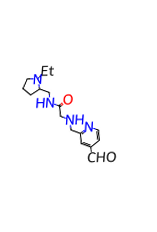 CCN1CCCC1CNC(=O)CNCc1cc(C=O)ccn1